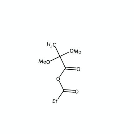 CCC(=O)OC(=O)C(C)(OC)OC